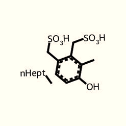 CCCCCCCC.Cc1c(O)ccc(CS(=O)(=O)O)c1CS(=O)(=O)O